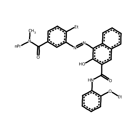 CCCN(C)C(=O)c1ccc(CC)c(/N=N/c2c(O)c(C(=O)Nc3ccccc3OCC)cc3ccccc23)c1